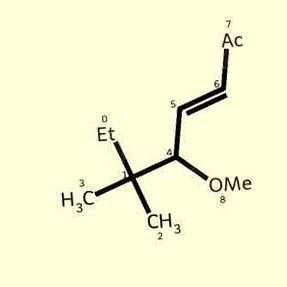 CCC(C)(C)C(C=CC(C)=O)OC